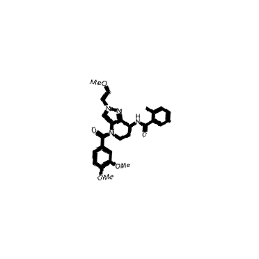 COCCn1cc2c(n1)C(NC(=O)c1ccccc1C)CCN2C(=O)c1ccc(OC)c(OC)c1